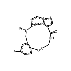 CC(C)N1Cc2cc(F)ccc2OCCNC(=O)c2cnn3ccc1nc23